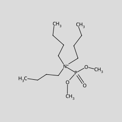 CCCC[N+](CCCC)(CCCC)P(=O)(OC)OC